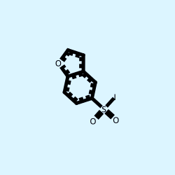 O=S(=O)(I)c1ccc2occc2c1